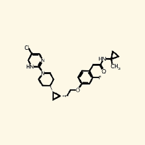 CC1(NC(=O)Cc2ccc(OCC[C@@H]3C[C@@H]3C3CCN(C4=NC=C(Cl)CN4)CC3)cc2F)CC1